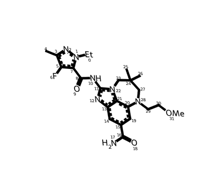 CCn1nc(C)c(F)c1C(=O)Nc1nc2cc(C(N)=O)cc3c2n1CC(C)(C)CN3CCOC